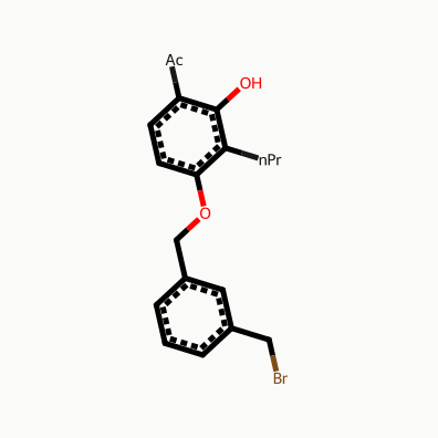 CCCc1c(OCc2cccc(CBr)c2)ccc(C(C)=O)c1O